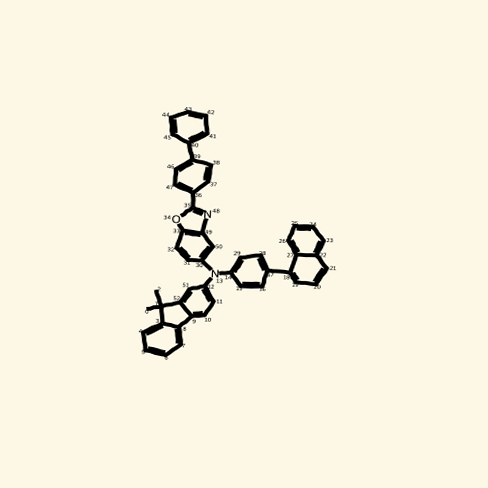 CC1(C)c2ccccc2-c2ccc(N(c3ccc(-c4cccc5ccccc45)cc3)c3ccc4oc(-c5ccc(-c6ccccc6)cc5)nc4c3)cc21